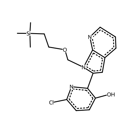 C[Si](C)(C)CCOCn1c(-c2nc(Cl)ccc2O)cc2cccnc21